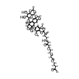 COc1cc([C@H]2c3cc4c(cc3[C@H](OC3OC5COC(C)OC5C(O)C3O)[C@@H]3COC(=O)[C@@H]23)OCO4)cc(OC)c1OC(=O)N(C)CCNCC(=O)COCCOCCOCCCC(C)=O